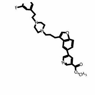 COC(=O)c1cncc(-c2ccc3occ(CCCN4CCN(CCc5cccc(F)c5)CC4)c3c2)c1